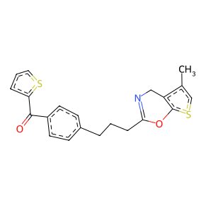 Cc1csc2c1CN=C(CCCc1ccc(C(=O)c3cccs3)cc1)O2